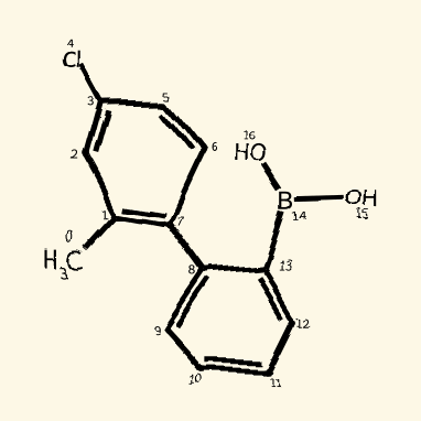 Cc1cc(Cl)ccc1-c1ccccc1B(O)O